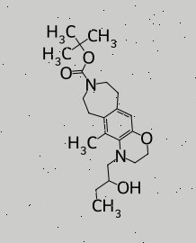 CCC(O)CN1CCOc2cc3c(c(C)c21)CCN(C(=O)OC(C)(C)C)CC3